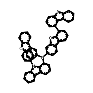 c1ccc(-n2c3ccccc3c3cccc(N(c4ccc5c(c4)oc4c(-c6cccc7sc8ccccc8c67)cccc45)c4ccc5oc6ccccc6c5c4)c32)cc1